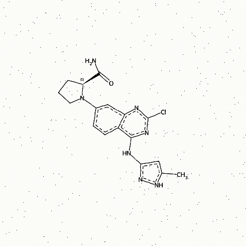 Cc1cc(Nc2nc(Cl)nc3cc(N4CCC[C@H]4C(N)=O)ccc23)n[nH]1